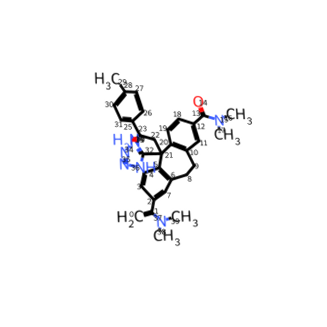 C=C(c1ccc2c(c1)CCc1cc(C(=O)N(C)C)ccc1C2(C[C@@H](N)c1ccc(C)cc1)c1nnn[nH]1)N(C)C